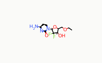 CCOCC1O[C@@H](n2ccc(N)nc2=O)C(F)(F)[C@@H]1O